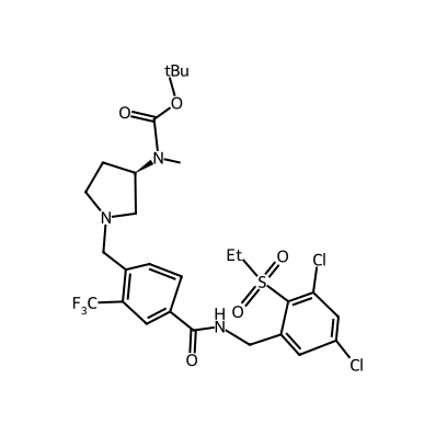 CCS(=O)(=O)c1c(Cl)cc(Cl)cc1CNC(=O)c1ccc(CN2CC[C@@H](N(C)C(=O)OC(C)(C)C)C2)c(C(F)(F)F)c1